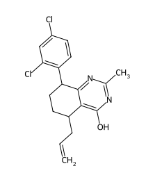 C=CCC1CCC(c2ccc(Cl)cc2Cl)c2nc(C)nc(O)c21